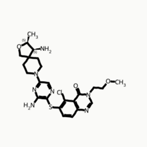 COCCn1cnc2ccc(Sc3ncc(N4CCC5(CC4)CO[C@@H](C)[C@H]5N)nc3N)c(Cl)c2c1=O